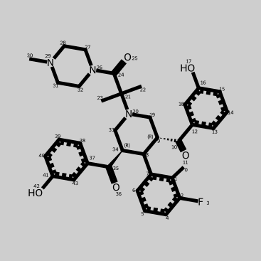 Cc1c(F)cccc1C1[C@@H](C(=O)c2cccc(O)c2)CN(C(C)(C)C(=O)N2CCN(C)CC2)C[C@@H]1C(=O)c1cccc(O)c1